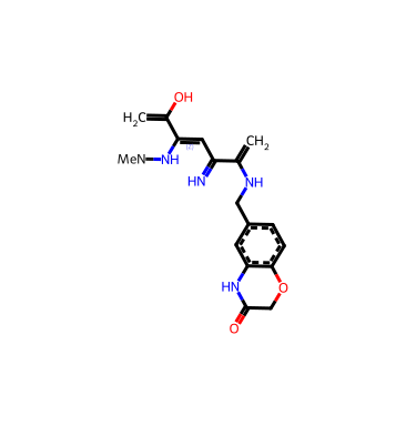 C=C(NCc1ccc2c(c1)NC(=O)CO2)C(=N)/C=C(\NNC)C(=C)O